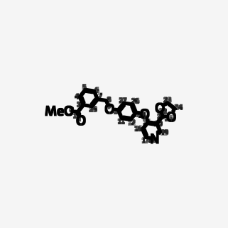 COC(=O)c1cccc(COc2ccc(Oc3ccncc3C3OCCO3)cc2)c1